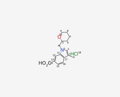 Cc1cn(CC2CCCCO2)c2cc(C(=O)O)ccc12.Cl